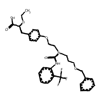 CCOC(Cc1ccc(OCCN(CCCOCc2ccccc2)C(=O)Nc2ccccc2C(F)(F)F)cc1)C(=O)O